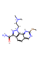 CSc1ncc2ccc3c(C(N)=O)nn(CCN(C)C)c3c2n1